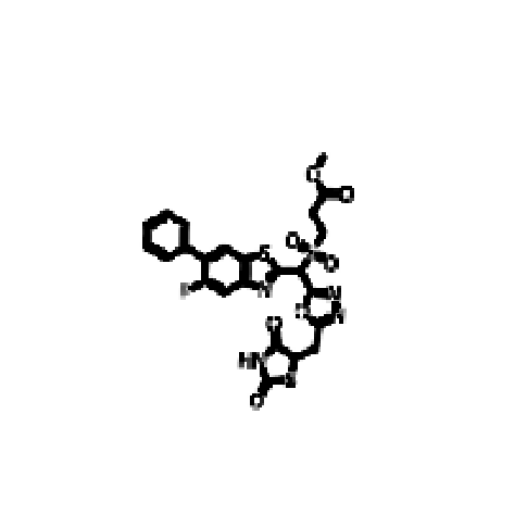 COC(=O)CCS(=O)(=O)C(c1nnc(CC2SC(=O)NC2=O)o1)c1nc2cc(F)c(-c3ccccc3)cc2s1